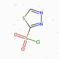 O=S(=O)(Cl)c1nncs1